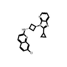 Clc1ccc2ccc(N[C@H]3C[C@H](n4c(C5CC5)nc5cccnc54)C3)nc2c1